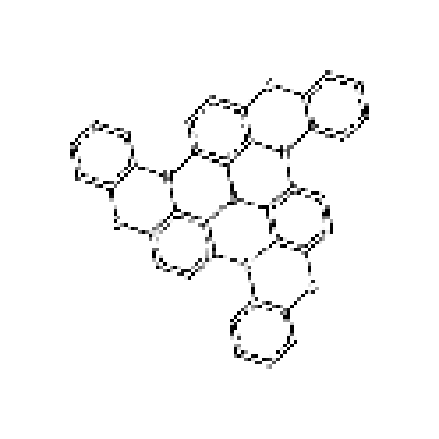 c1ccc2c(c1)Sc1ccc3c4c1N2c1ccc2c5c1B4c1c(ccc4c1N3c1ccccc1S4)N5c1ccccc1S2